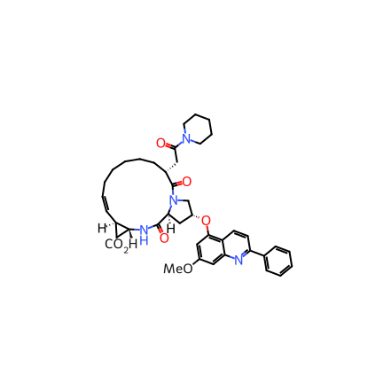 COc1cc(O[C@@H]2C[C@H]3C(=O)N[C@]4(C(=O)O)C[C@H]4/C=C\CCCCC[C@H](CC(=O)N4CCCCC4)C(=O)N3C2)c2ccc(-c3ccccc3)nc2c1